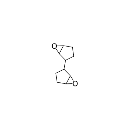 C1CC(C2CCC3OC32)C2OC12